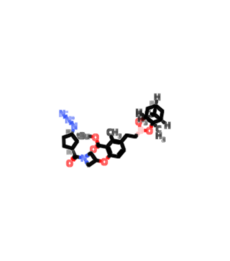 Cc1c(CCB2O[C@@H]3C[C@@H]4C[C@@H](C4(C)C)[C@]3(C)O2)ccc(OC2CN(C(=O)[C@H]3CC[C@@H](N=[N+]=[N-])C3)C2)c1C(=O)OC(C)(C)C